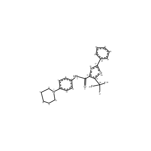 O=C(Nc1ccc(N2CC[CH]CC2)cc1)c1nc(-c2ccccc2)oc1C(F)(F)F